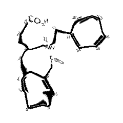 O=C(O)CC(Cc1ccccc1F)NCc1ccccc1